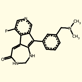 CN(C)Cc1cccc(C2=C3NCNC(=O)C=C3c3c(F)cncc32)c1